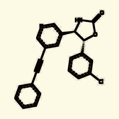 O=C1N[C@H](c2cncc(C#Cc3ccccc3)c2)[C@@H](c2cccc(Cl)c2)O1